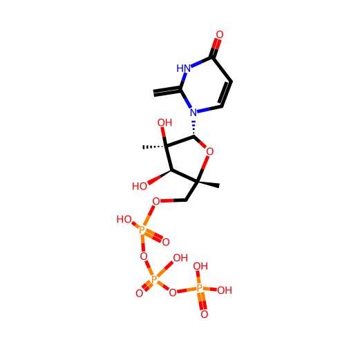 C=C1NC(=O)C=CN1[C@@H]1O[C@](C)(COP(=O)(O)OP(=O)(O)OP(=O)(O)O)[C@@H](O)[C@@]1(C)O